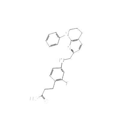 O=C(O)CCc1ccc(NCc2ccc3c(n2)N(c2ccccc2)CCC3)cc1F